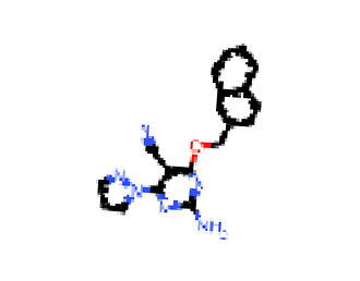 N#Cc1c(OCc2ccc3ccccc3c2)nc(N)nc1-n1cccn1